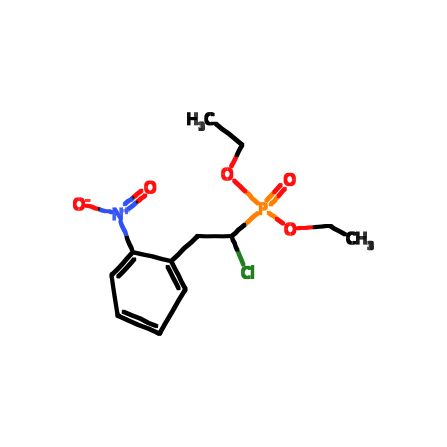 CCOP(=O)(OCC)C(Cl)Cc1ccccc1[N+](=O)[O-]